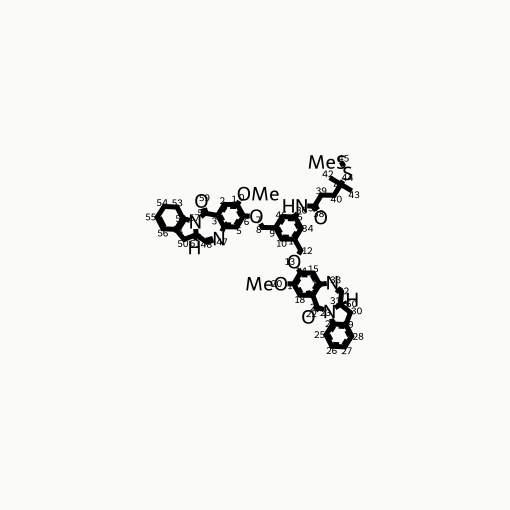 COc1cc2c(cc1OCc1cc(COc3cc4c(cc3OC)C(=O)N3c5ccccc5C[C@H]3C=N4)cc(NC(=O)CCC(C)(C)SSC)c1)N=C[C@@H]1CC3=C(CCC=C3)N1C2=O